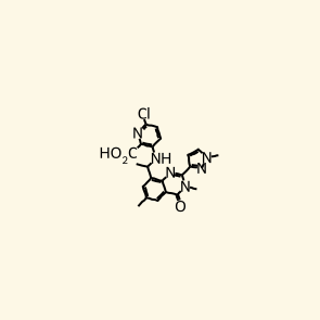 Cc1cc(C(C)Nc2ccc(Cl)nc2C(=O)O)c2nc(-c3ccn(C)n3)n(C)c(=O)c2c1